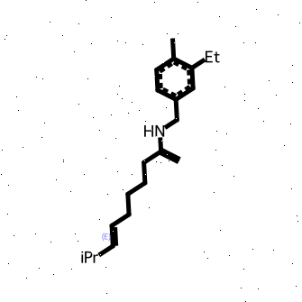 C=C(CCCC/C=C/C(C)C)NCc1ccc(C)c(CC)c1